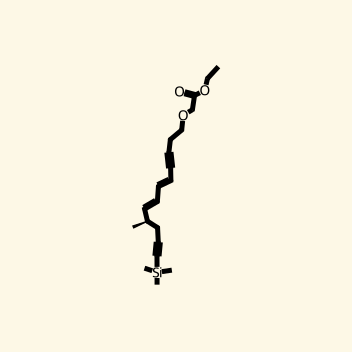 CCOC(=O)COCCC#C/C=C/C=C/[C@H](C)CC#C[Si](C)(C)C